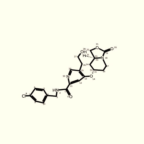 O=C(NCc1ccc(Cl)cc1)c1cc(O[C@H]2CCN3C(=O)OC[C@@H]3C2)c(CCO)cn1